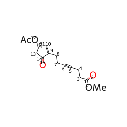 COC(=O)CCC#CCCC1=C[C@@H](OC(C)=O)CC1=O